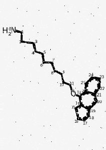 NCCCCCCCCCCCOc1c2ccccc2cc2ccccc12